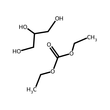 CCOC(=O)OCC.OCC(O)CO